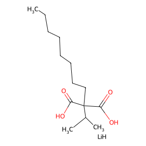 CCCCCCCCC(C(=O)O)(C(=O)O)C(C)C.[LiH]